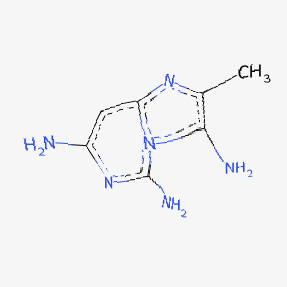 Cc1nc2cc(N)nc(N)n2c1N